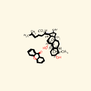 CC(=O)O[C@H]1C[C@@]2(C)[C@@H](C[C@@H](O)[C@H]3[C@@]4(C)CC[C@@H](O)[C@@H](C)[C@@H]4CC[C@@]32C)/C1=C(\CCC=C(C)C)C(=O)O.O=c1c2ccccc2oc2ccccc12